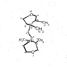 CC1COCC[N+]1(C)SS[N+]1(C)CCOCC1C